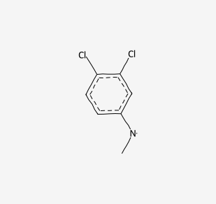 C[N]c1ccc(Cl)c(Cl)c1